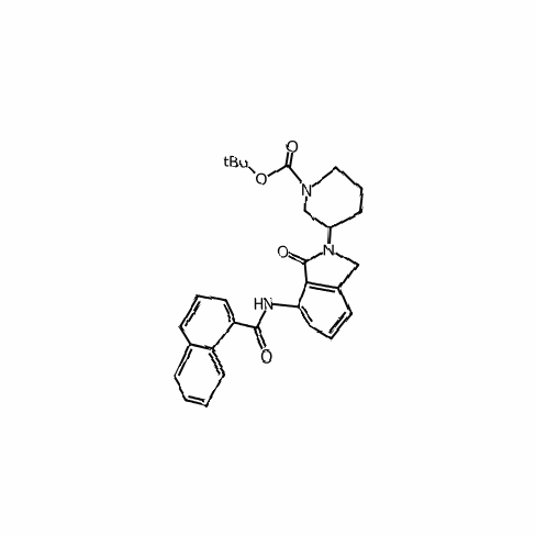 CC(C)(C)OC(=O)N1CCCC(N2Cc3cccc(NC(=O)c4cccc5ccccc45)c3C2=O)C1